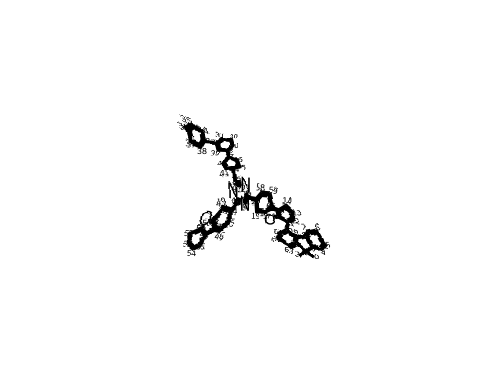 CC1(C)c2ccccc2-c2c(-c3cccc4c3oc3cc(-c5nc(-c6ccc(-c7cccc(-c8ccccc8)c7)cc6)nc(-c6ccc7c(c6)oc6ccccc67)n5)ccc34)cccc21